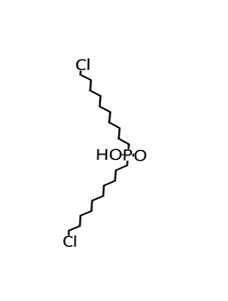 O=P(O)(CCCCCCCCCCCl)CCCCCCCCCCCl